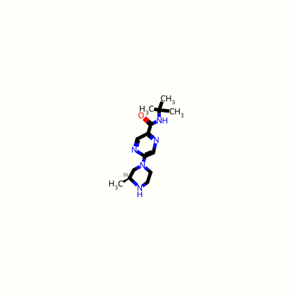 C[C@H]1CN(c2cnc(C(=O)NC(C)(C)C)cn2)CCN1